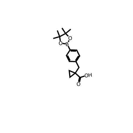 CC1(C)OB(c2ccc(CC3(C(=O)O)CC3)cc2)OC1(C)C